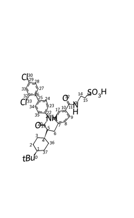 CC(C)(C)[C@H]1CC[C@@H](C(Cc2ccc(C(=O)NCCS(=O)(=O)O)cc2)C(=O)Nc2ccc(-c3ccc(Cl)cc3Cl)cc2)CC1